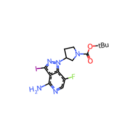 CC(C)(C)OC(=O)N1CCC(n2nc(I)c3c(N)ncc(F)c32)C1